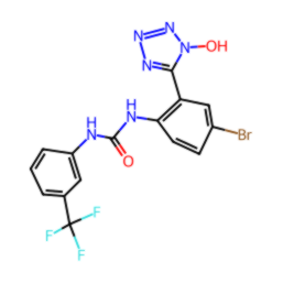 O=C(Nc1cccc(C(F)(F)F)c1)Nc1ccc(Br)cc1-c1nnnn1O